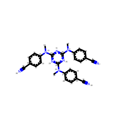 CN(c1ccc(C#N)cc1)c1nc(N(C)c2ccc(C#N)cc2)nc(N(C)c2ccc(C#N)cc2)n1